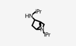 CC(C)NC1CC2C=C1CN2C(C)C